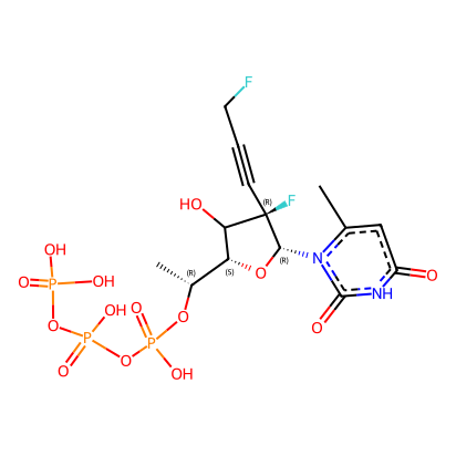 Cc1cc(=O)[nH]c(=O)n1[C@@H]1O[C@H]([C@@H](C)OP(=O)(O)OP(=O)(O)OP(=O)(O)O)C(O)[C@]1(F)C#CCF